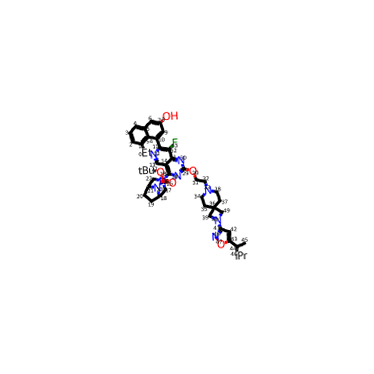 CCc1cccc2cc(O)cc(-c3ncc4c(N5CC6CCC(C5)N6C(=O)OC(C)(C)C)nc(OCCN5CCC6(CC5)CN(c5cc(C(C)C(C)C)on5)C6)nc4c3F)c12